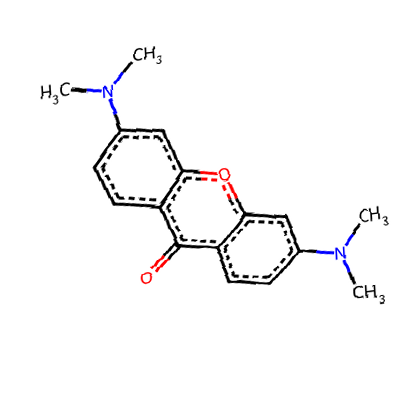 CN(C)c1ccc2c(=O)c3ccc(N(C)C)cc3oc2c1